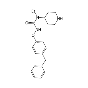 CCN(C(=O)NOc1ccc(Cc2ccccc2)cc1)C1CCNCC1